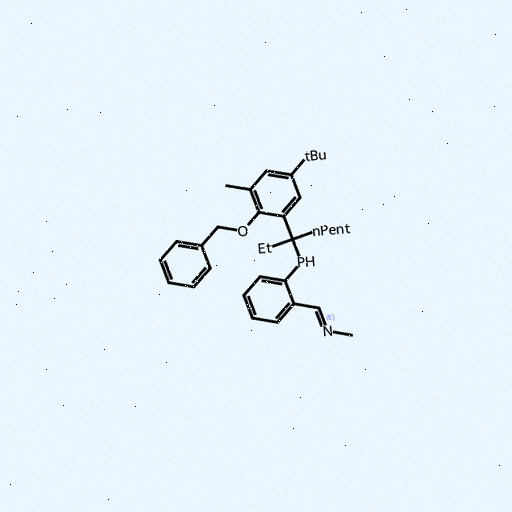 CCCCCC(CC)(Pc1ccccc1/C=N/C)c1cc(C(C)(C)C)cc(C)c1OCc1ccccc1